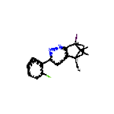 CC1(C)[C@@H]2CC[C@@]1(I)c1nnc(-c3ccccc3F)cc12